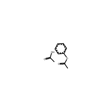 CC(=O)O.CC(=O)Oc1ccccc1